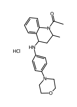 CC(=O)N1c2ccccc2C(Nc2ccc(N3CCOCC3)cc2)CC1C.Cl